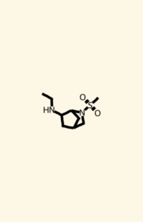 CCNC1CC2CC1N(S(C)(=O)=O)C2